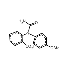 COc1ccc(N(C(N)=O)c2ccccc2C(=O)O)cc1